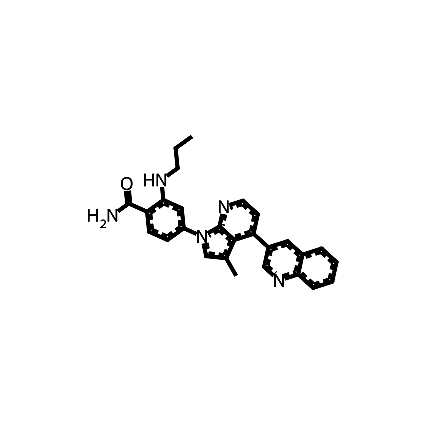 CCCNc1cc(-n2cc(C)c3c(-c4cnc5ccccc5c4)ccnc32)ccc1C(N)=O